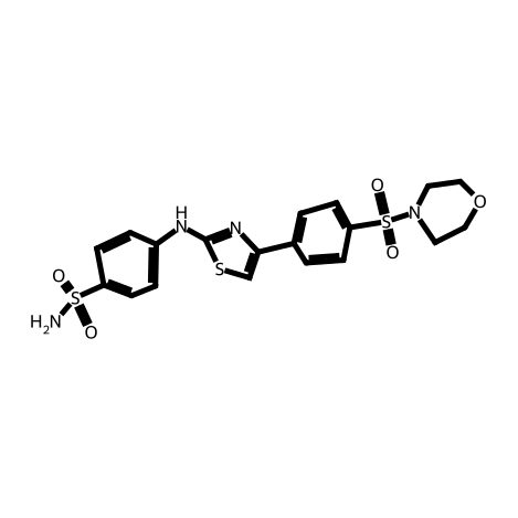 NS(=O)(=O)c1ccc(Nc2nc(-c3ccc(S(=O)(=O)N4CCOCC4)cc3)cs2)cc1